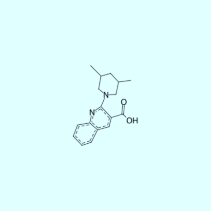 CC1CC(C)CN(c2nc3ccccc3cc2C(=O)O)C1